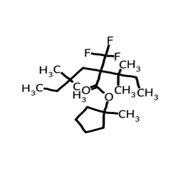 CCC(C)(C)CC(C(=O)OC1(C)CCCC1)(C(F)(F)F)C(C)(C)CC